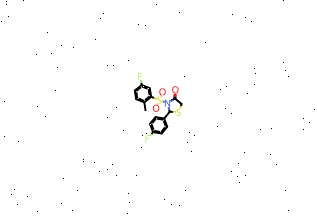 Cc1ccc(F)cc1S(=O)(=O)N1C(=O)CSC1c1ccc(F)cc1